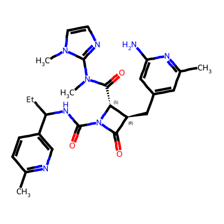 CCC(NC(=O)N1C(=O)[C@H](Cc2cc(C)nc(N)c2)[C@H]1C(=O)N(C)c1nccn1C)c1ccc(C)nc1